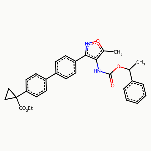 CCOC(=O)C1(c2ccc(-c3ccc(-c4noc(C)c4NC(=O)OC(C)c4ccccc4)cc3)cc2)CC1